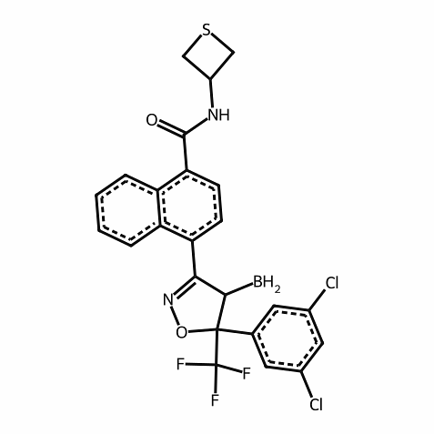 BC1C(c2ccc(C(=O)NC3CSC3)c3ccccc23)=NOC1(c1cc(Cl)cc(Cl)c1)C(F)(F)F